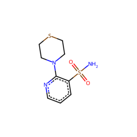 NS(=O)(=O)c1cccnc1N1CCSCC1